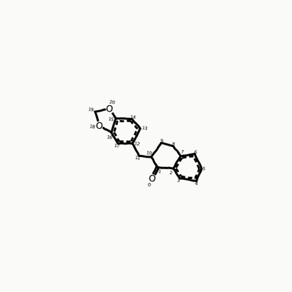 O=C1c2ccccc2CCC1Cc1ccc2c(c1)OCO2